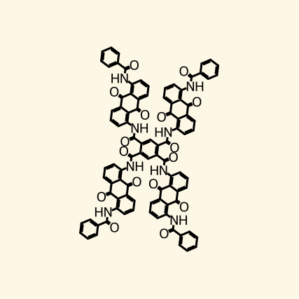 O=C(Nc1cccc2c1C(=O)c1cccc(NC(=O)c3cc(C(=O)Nc4cccc5c4C(=O)c4cccc(NC(=O)c6ccccc6)c4C5=O)c(C(=O)Nc4cccc5c4C(=O)c4cccc(NC(=O)c6ccccc6)c4C5=O)cc3C(=O)Nc3cccc4c3C(=O)c3cccc(NC(=O)c5ccccc5)c3C4=O)c1C2=O)c1ccccc1